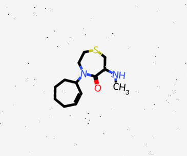 CNC1CSCCN(C2C=CCCCC2)C1=O